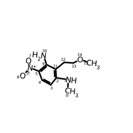 CNc1ccc([N+](=O)[O-])c(N)c1CCOC